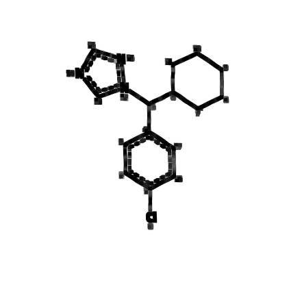 Clc1ccc(C(C2[CH]CCCC2)n2cncn2)cc1